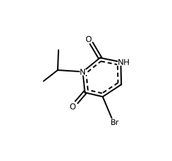 CC(C)n1c(=O)[nH]cc(Br)c1=O